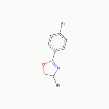 CCc1ccc(C2=NC(C(C)C)CO2)cc1